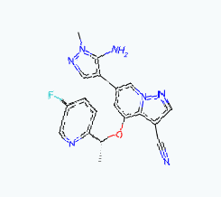 C[C@@H](Oc1cc(-c2cnn(C)c2N)cn2ncc(C#N)c12)c1ccc(F)cn1